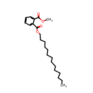 CCCCCCCCCCCCCCOC(=O)c1ccccc1C(=O)OC